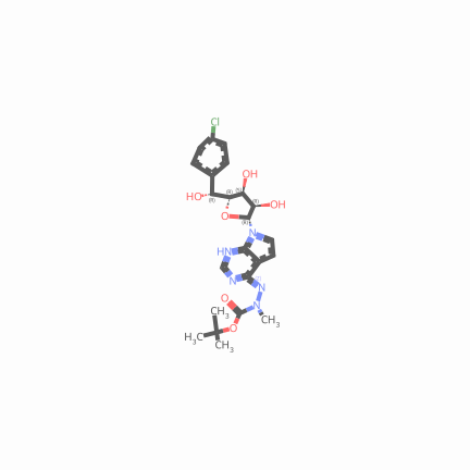 CN(/N=c1\nc[nH]c2c1ccn2[C@@H]1O[C@H]([C@H](O)c2ccc(Cl)cc2)[C@@H](O)[C@H]1O)C(=O)OC(C)(C)C